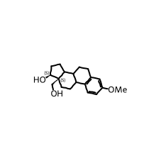 COc1ccc2c(c1)CCC1C2CC[C@@]2(CO)C1CC[C@@H]2O